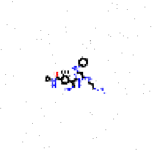 Cc1cc(/C(C=N)=C2\N=C(NC3CCCCC3)C=C(NCCCN)N2)ccc1C(=O)NC1CC1